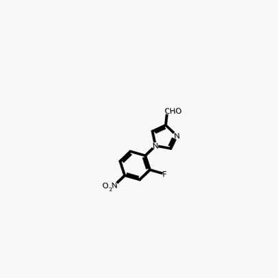 O=Cc1cn(-c2ccc([N+](=O)[O-])cc2F)cn1